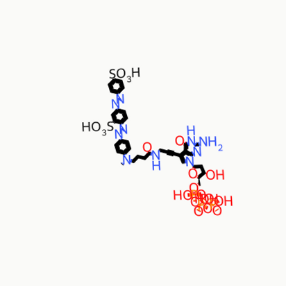 CN(CCCC(=O)NCC#Cc1cn([C@H]2C[C@H](O)[C@@H](COP(=O)(O)OP(=O)(O)OP(=O)(O)O)O2)c2nc(N)[nH]c(=O)c12)c1ccc(N=Nc2ccc(N=Nc3ccc(S(=O)(=O)O)cc3)cc2S(=O)(=O)O)cc1